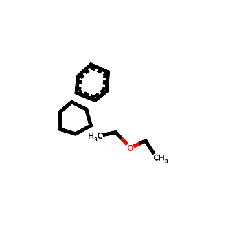 C1CCCCC1.CCOCC.c1ccccc1